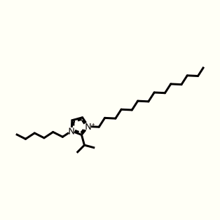 CCCCCCCCCCCCCC[n+]1ccn(CCCCCC)c1C(C)C